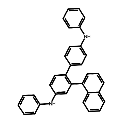 c1ccc(Nc2ccc(-c3ccc(Nc4ccccc4)cc3-c3cccc4ccccc34)cc2)cc1